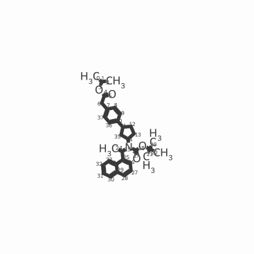 CC(C)OC(=O)Cc1ccc(C2CCC(N(C(=O)OC(C)(C)C)C(C)c3cccc4ccccc34)C2)cc1